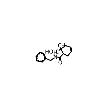 CC1(C(=O)O)CC=CCC1C(=O)NCc1ccccc1